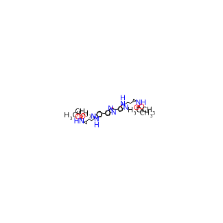 CC(C)(C)OC(=O)NC1CC1CCc1nc2ccc(-c3ccc4nc(-c5ccc6nc(CCC7CC7NC(=O)OC(C)(C)C)[nH]c6c5)cnc4c3)cc2[nH]1